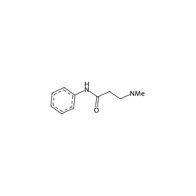 CNCCC(=O)Nc1ccccc1